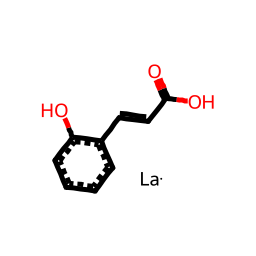 O=C(O)/C=C/c1ccccc1O.[La]